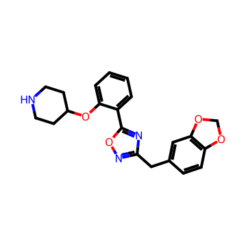 c1ccc(-c2nc(Cc3ccc4c(c3)OCO4)no2)c(OC2CCNCC2)c1